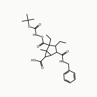 CCC1C(C(=O)NCc2ccccc2)C2C(C(=O)O)C2(C)C1(CC)C(=O)ONC(=O)OC(C)(C)C